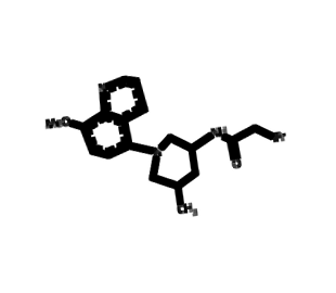 COc1ccc(N2CC(C)CC(NC(=O)CC(C)C)C2)c2cccnc12